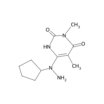 Cc1c(N(N)C2CCCC2)[nH]c(=O)n(C)c1=O